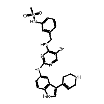 CS(=O)(=O)Nc1cccc(CNc2nc(Nc3ccc4[nH]cc(C5=CCNCC5)c4c3)ncc2Br)c1